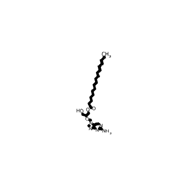 CCCCCCCCCCCCCCCCCC(=O)OCC(CO)OCn1cnc2nc(N)ncc21